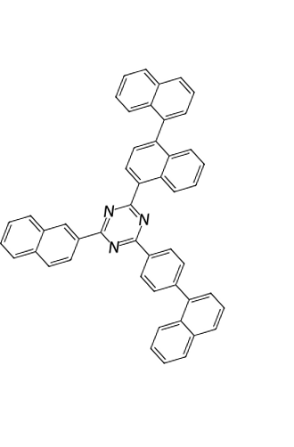 c1ccc2cc(-c3nc(-c4ccc(-c5cccc6ccccc56)cc4)nc(-c4ccc(-c5cccc6ccccc56)c5ccccc45)n3)ccc2c1